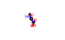 COC(=O)C1CC(=O)N(c2ccc(NC(=O)C(C)C)cc2)C1